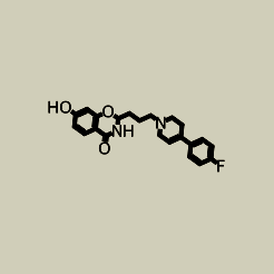 O=C1NC(CCCN2CC=C(c3ccc(F)cc3)CC2)Oc2cc(O)ccc21